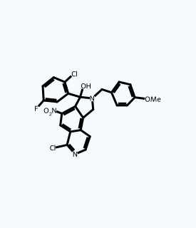 COc1ccc(CN2Cc3c(c([N+](=O)[O-])cc4c(Cl)nccc34)C2(O)c2cc(F)ccc2Cl)cc1